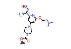 CN(C)CCOc1cc(N2CCN(C(=O)OC(C)(C)C)CC2)cc(/C(N)=N/O)n1